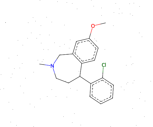 COc1ccc2c(c1)CN(C)CCC2c1ccccc1Cl